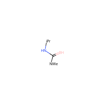 B=C(NC)NC(C)C